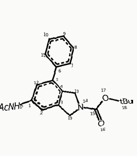 CC(=O)Nc1cc2c(c(-c3ccccc3)c1)CN(C(=O)OC(C)(C)C)C2